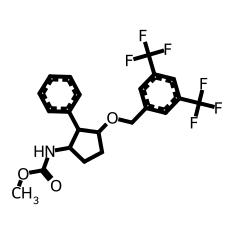 COC(=O)NC1CCC(OCc2cc(C(F)(F)F)cc(C(F)(F)F)c2)C1c1ccccc1